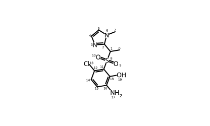 CC(c1nccn1C)S(=O)(=O)c1c(Cl)ccc(N)c1O